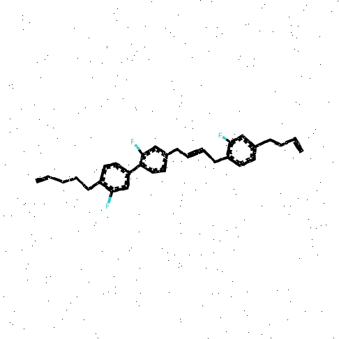 C=CCCCc1ccc(-c2ccc(C/C=C/Cc3ccc(CCC=C)cc3F)cc2F)cc1F